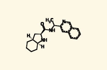 CC(NC(=O)[C@@H]1C[C@@H]2CCCC[C@@H]2N1)c1cc2ccccc2cn1